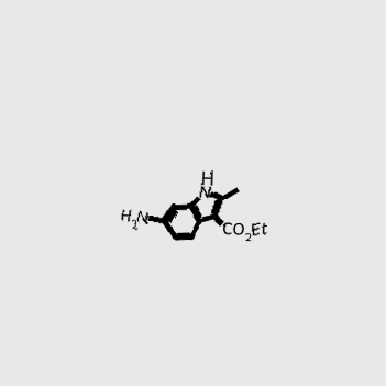 CCOC(=O)c1c(C)[nH]c2cc(N)ccc12